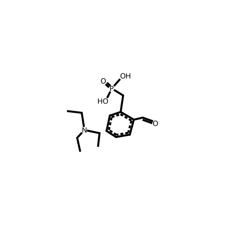 CCN(CC)CC.O=Cc1ccccc1CP(=O)(O)O